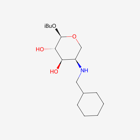 CC(C)CO[C@H]1OC[C@@H](NCC2CCCCC2)[C@@H](O)[C@@H]1O